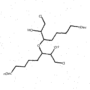 CCCCCCCCCCCCCCC(OC(CCCCCCCCCCCCCC)C(O)CCl)C(O)CCl